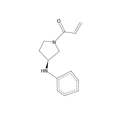 C=CC(=O)N1CC[C@H](Nc2ccccc2)C1